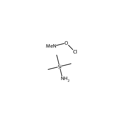 CNOCl.C[Si](C)(C)N